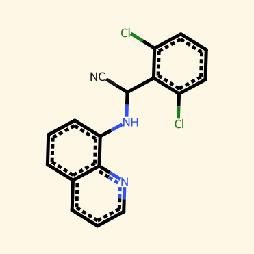 N#CC(Nc1cccc2cccnc12)c1c(Cl)cccc1Cl